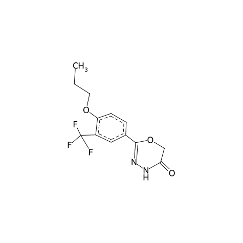 CCCOc1ccc(C2=NNC(=O)CO2)cc1C(F)(F)F